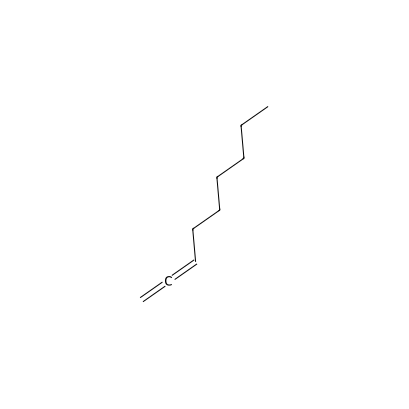 C=C=CCCCCCC